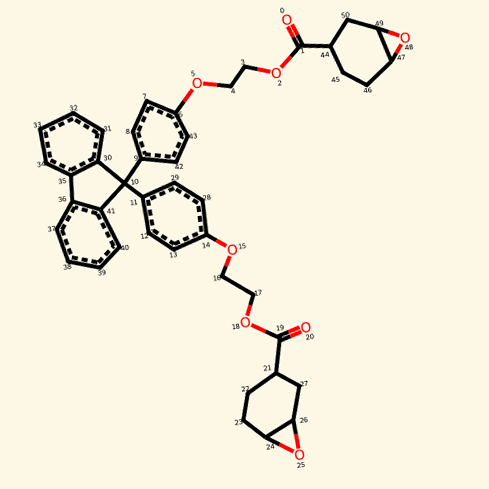 O=C(OCCOc1ccc(C2(c3ccc(OCCOC(=O)C4CCC5OC5C4)cc3)c3ccccc3-c3ccccc32)cc1)C1CCC2OC2C1